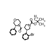 CC(C)(C)OC(=O)N1C[C@@H](C(=O)N2CCOC[C@@H]2c2ccccc2)[C@H](c2ccccc2Br)C1